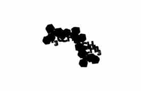 CC1(C)c2cc(-c3cc4cc(-c5ccc6c(c5)C(C)(C)c5cc(N(c7ccccc7)c7ccc8ccccc8c7)ccc5-6)c5ccccc5c4c4ccccc34)ccc2-c2ccc(N(c3ccccc3)c3ccc4ccccc4c3)cc21